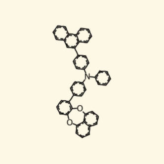 c1ccc(N(c2ccc(-c3cccc4c3Oc3cccc5cccc(c35)O4)cc2)c2ccc(-c3cc4ccccc4c4ccccc34)cc2)cc1